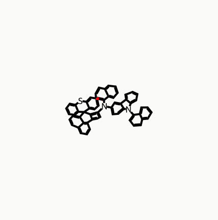 c1ccc2c(c1)Sc1ccccc1C21c2cc(N(c3ccc4c(c3)c3ccccc3n4-c3cccc4ccccc34)c3cccc4ccccc34)ccc2-c2cccc3cccc1c23